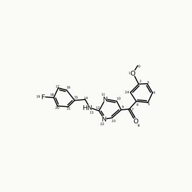 COc1cccc(C(=O)c2cnc(NCc3ccc(F)cc3)nc2)c1